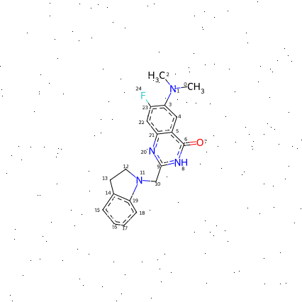 CN(C)c1cc2c(=O)[nH]c(CN3CCc4ccccc43)nc2cc1F